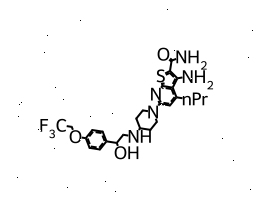 CCCc1cc(N2CCC(NCC(O)c3ccc(OCC(F)(F)F)cc3)CC2)nc2sc(C(N)=O)c(N)c12